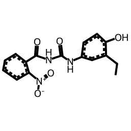 CCc1cc(NC(=O)NC(=O)c2ccccc2[N+](=O)[O-])ccc1O